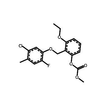 CCOc1cccc(OC(=O)OC)c1COc1cc(Cl)c(C)cc1F